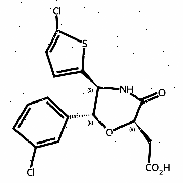 O=C(O)C[C@H]1O[C@H](c2cccc(Cl)c2)[C@@H](c2ccc(Cl)s2)NC1=O